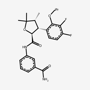 CC(C)Oc1c([C@@H]2[C@@H](C(=O)Nc3cccc(C(N)=O)c3)OC(C)(C)[C@@H]2C)ccc(F)c1F